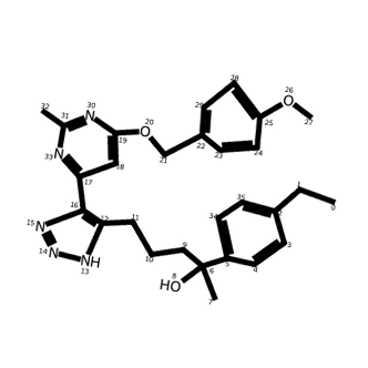 CCc1ccc(C(C)(O)CCCc2[nH]nnc2-c2cc(OCc3ccc(OC)cc3)nc(C)n2)cc1